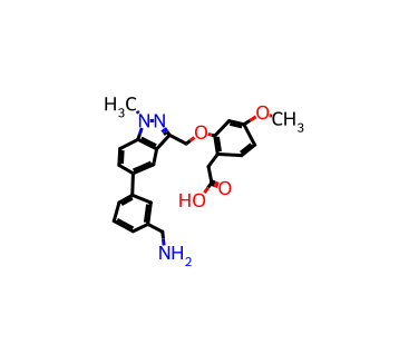 COc1ccc(CC(=O)O)c(OCc2nn(C)c3ccc(-c4cccc(CN)c4)cc23)c1